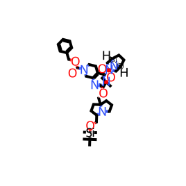 CC(C)(C)OC(=O)N1[C@@H]2CC[C@H]1CN(c1nc(OCC34CCCN3C(CO[Si](C)(C)C(C)(C)C)CC4)nc3c1CCN(C(=O)OCc1ccccc1)C3)C2